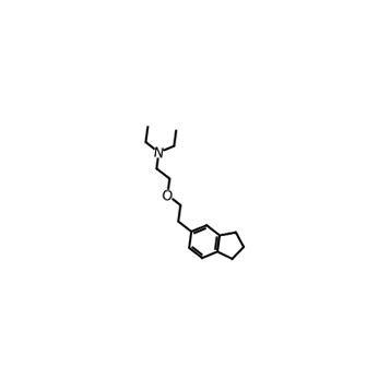 CCN(CC)CCOCCc1ccc2c(c1)CCC2